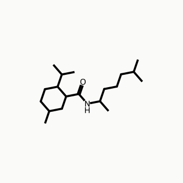 CC(C)CCCC(C)NC(=O)C1CC(C)CCC1C(C)C